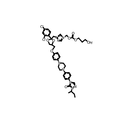 CCC(C)n1ncn(-c2ccc(N3CCN(c4ccc(OCC5COC(Cn6c[n+](COC(=O)OCCCO)cn6)(c6ccc(Cl)cc6Cl)O5)cc4)CC3)cc2)c1=O